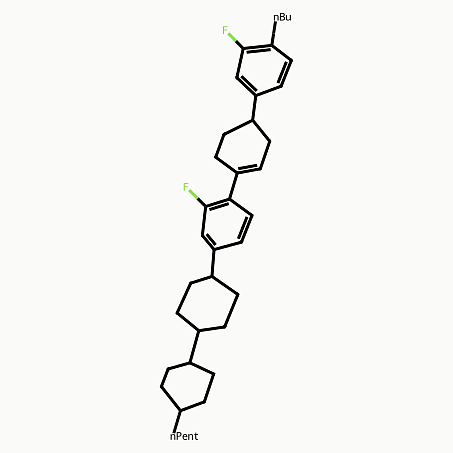 CCCCCC1CCC(C2CCC(c3ccc(C4=CCC(c5ccc(CCCC)c(F)c5)CC4)c(F)c3)CC2)CC1